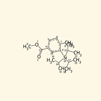 COC(=O)c1ccc(C)c([Si](C(C)C)(C(C)C)C(C)C)c1